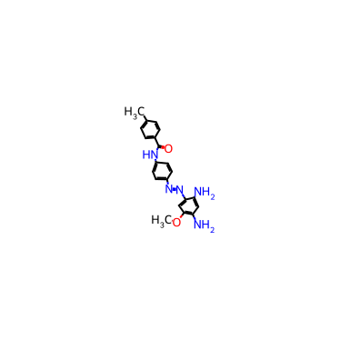 COc1cc(/N=N/c2ccc(NC(=O)c3ccc(C)cc3)cc2)c(N)cc1N